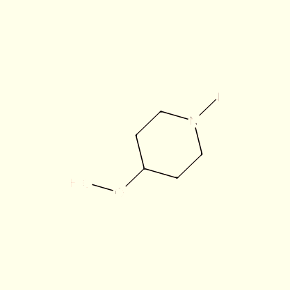 FC(F)(F)OC1CCN(I)CC1